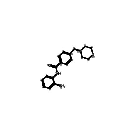 Nc1ccccc1NC(=O)c1ccc(CN2CCOCC2)cc1